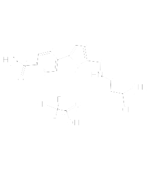 CC(C)CCNCc1ccc(-c2ccc(C(N)=O)cc2)s1.O=C(O)C(F)(F)F